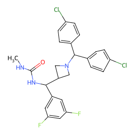 CNC(=O)NC(c1cc(F)cc(F)c1)C1CN(C(c2ccc(Cl)cc2)c2ccc(Cl)cc2)C1